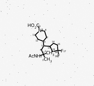 CC(=O)NC(C)(C)CC(C1CCN(C(=O)O)CC1)C1CCC(F)(F)C1